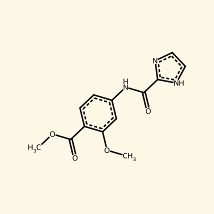 COC(=O)c1ccc(NC(=O)c2ncc[nH]2)cc1OC